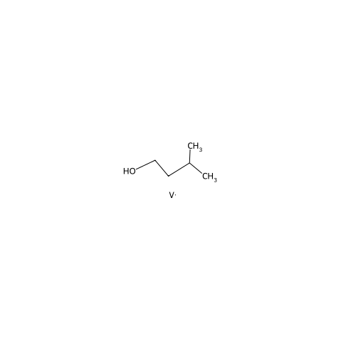 CC(C)CCO.[V]